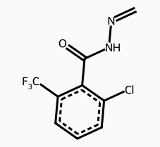 C=NNC(=O)c1c(Cl)cccc1C(F)(F)F